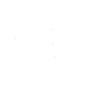 COC(=O)c1cc(N)n2c(C)c(C)nc2c1